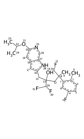 Cc1ccc(F)cc1C(C)(CF)CC(O)(Cc1cc2cc(OC(C)C)ncc2[nH]1)C(F)F